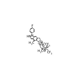 C[C@H]1C2=CNN(c3ccc(F)cc3)C2=CC2=C1[C@@H](CN(C[C@H](C)OS(=O)(=O)CC(F)(F)F)S(=O)(=O)CC(F)(F)F)CC2